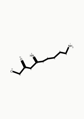 N=C(CCCCCN)CC(=O)CCl